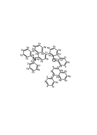 c1ccc(-c2ccc(-c3cccc4c3oc3c(-c5ccc(N(c6ccccc6)c6ccccc6)c6ccccc56)cccc34)c3ccccc23)cc1